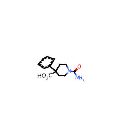 NC(=O)N1CCC(C(=O)O)(c2ccccc2)CC1